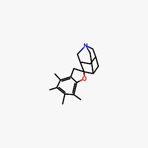 Cc1c(C)c(C)c2c(c1C)CC1(O2)C2CC3CC1CN(C3)C2